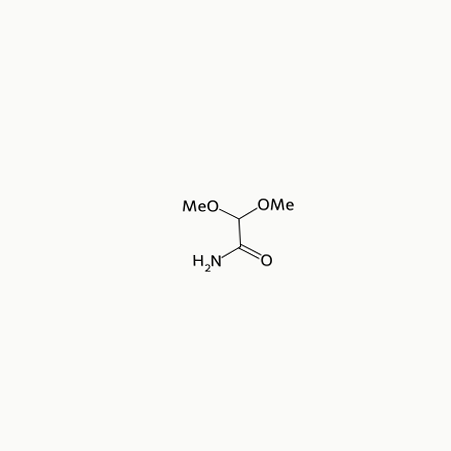 COC(OC)C(N)=O